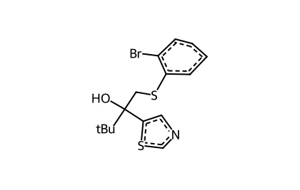 CC(C)(C)C(O)(CSc1ccccc1Br)c1cncs1